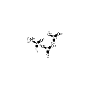 O=P(=O)[O-].O=P(=O)[O-].O=P(=O)[O-].[Fe+3]